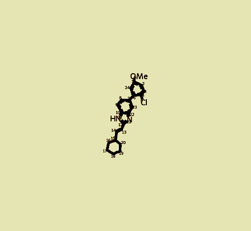 COc1ccc(Cl)c(-c2ccc3[nH]c(/C=C/C4CCCCC4)nc3c2)c1